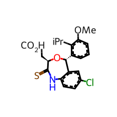 COc1cccc([C@H]2O[C@H](CC(=O)O)C(=S)Nc3ccc(Cl)cc32)c1C(C)C